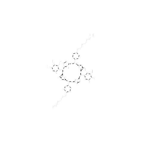 CCCCCCCc1ccc(-c2c3nc(c(-c4c(F)c(F)c(F)c(F)c4F)c4ccc([nH]4)c(-c4ccc(CCCCCCI)cc4)c4nc(c(-c5c(F)c(F)c(F)c(F)c5F)c5ccc2[nH]5)C=C4)C=C3)cc1